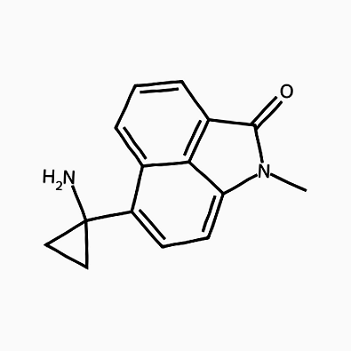 CN1C(=O)c2cccc3c(C4(N)CC4)ccc1c23